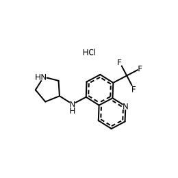 Cl.FC(F)(F)c1ccc(NC2CCNC2)c2cccnc12